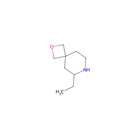 CCC1CC2(CCN1)COC2